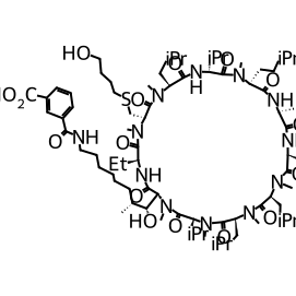 CC[C@@H]1NC(=O)[C@H]([C@H](O)[C@H](C)CCCCCCNC(=O)c2cccc(C(=O)O)c2)N(C)C(=O)[C@H](C(C)C)N(C)C(=O)[C@H](CC(C)C)N(C)C(=O)[C@H](CC(C)C)N(C)C(=O)[C@H](C)NC(=O)[C@@H](C)NC(=O)[C@@H](CCC(C)C)N(C)C(=O)[C@@H](C(C)C)NC(=O)[C@H](CC(C)C)N(C)C(=O)[C@@H](CSCCCCO)N(C)C1=O